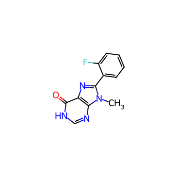 Cn1c(-c2ccccc2F)nc2c(=O)[nH]cnc21